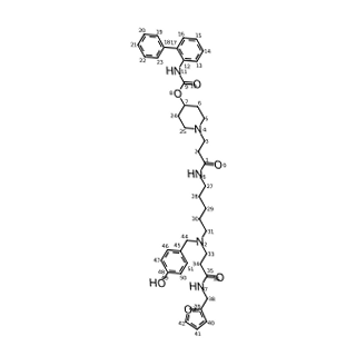 O=C(CCN1CCC(OC(=O)Nc2ccccc2-c2ccccc2)CC1)NCCCCCN(CCC(=O)NCc1ccco1)Cc1ccc(O)cc1